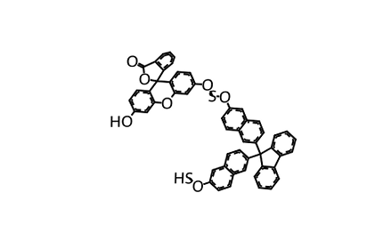 O=C1OC2(c3ccc(O)cc3Oc3cc(OSOc4ccc5cc(C6(c7ccc8cc(OS)ccc8c7)c7ccccc7-c7ccccc76)ccc5c4)ccc32)c2ccccc21